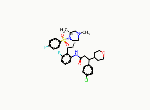 C[C@@H]1CN(C)C[C@H](CCc2c(F)cccc2NC(=O)CC(c2ccc(Cl)cc2)C2CCOCC2)N1S(=O)(=O)c1ccc(F)cc1